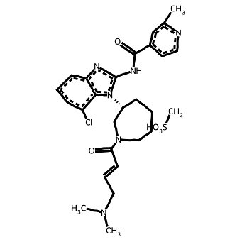 CS(=O)(=O)O.Cc1cc(C(=O)Nc2nc3cccc(Cl)c3n2[C@@H]2CCCCN(C(=O)C=CCN(C)C)C2)ccn1